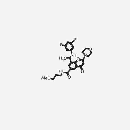 COCCCNC(=O)c1cc(C(C)Nc2cc(F)cc(F)c2)c2oc(N3CCOCC3)cc(=O)c2c1